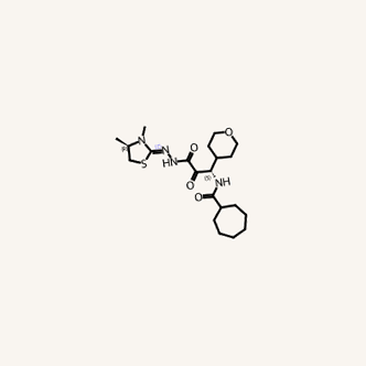 C[C@@H]1CS/C(=N\NC(=O)C(=O)[C@@H](NC(=O)C2CCCCCC2)C2CCOCC2)N1C